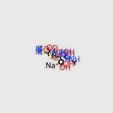 C=C(C)CNc1ncc(N(C(N)=O)C(C(=O)NC2C(=O)N3C(C(=O)[O-])=C(CSc4nnnn4C)CS[C@@H]23)c2ccc(O)c(O)c2)c(O)n1.[Na+]